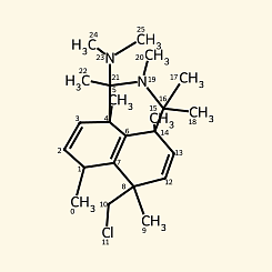 CC1C=CC2(C)C3=C1C(C)(CCl)C=CC3(C)C(C)(C)N(C)C2(C)N(C)C